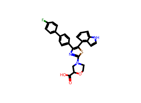 O=C(O)C1CN(c2nc(-c3ccc(-c4ccc(F)cc4)cc3)c(-c3cccc4[nH]ccc34)s2)CCO1